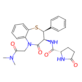 CN(C)C(=O)CN1C(=O)[C@H](NC(=O)[C@@H]2CCC(=O)N2)[C@H](c2ccccc2)Sc2ccccc21